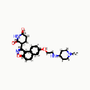 CC(=O)N1CCC(NCCOc2ccc3c(ccc4onc(C5CCC(=O)NC5=O)c43)c2)CC1